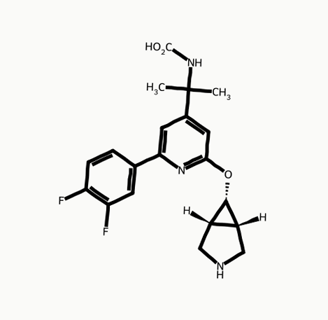 CC(C)(NC(=O)O)c1cc(O[C@@H]2[C@@H]3CNC[C@@H]32)nc(-c2ccc(F)c(F)c2)c1